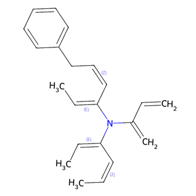 C=CC(=C)N(C(/C=C\C)=C/C)C(/C=C\Cc1ccccc1)=C/C